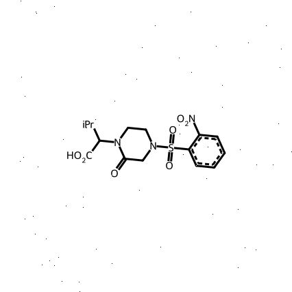 CC(C)C(C(=O)O)N1CCN(S(=O)(=O)c2ccccc2[N+](=O)[O-])CC1=O